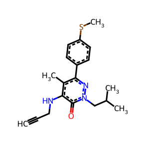 C#CCNc1c(C)c(-c2ccc(SC)cc2)nn(CC(C)C)c1=O